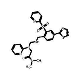 CN(C)C(=O)CN(CNCc1ccc(-c2nccs2)cc1S(=O)(=O)c1ccccn1)c1ccccn1